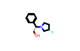 OC[C@H](c1ccccc1)N1CC[C@H](F)C1